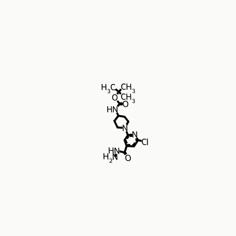 CC(C)(C)OC(=O)NC1CCN(c2cc(C(=O)NN)cc(Cl)n2)CC1